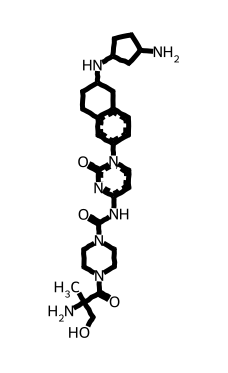 CC(N)(CO)C(=O)N1CCN(C(=O)Nc2ccn(-c3ccc4c(c3)CCC(NC3CCC(N)C3)C4)c(=O)n2)CC1